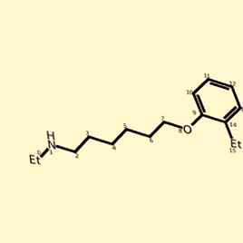 CCNCCCCCCOc1ccccc1CC